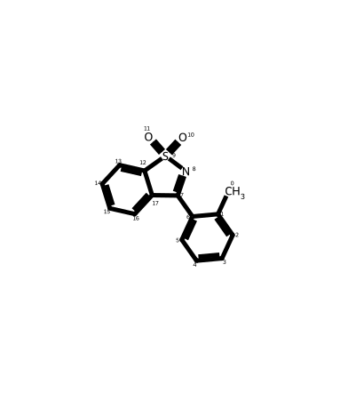 Cc1ccccc1C1=NS(=O)(=O)c2ccccc21